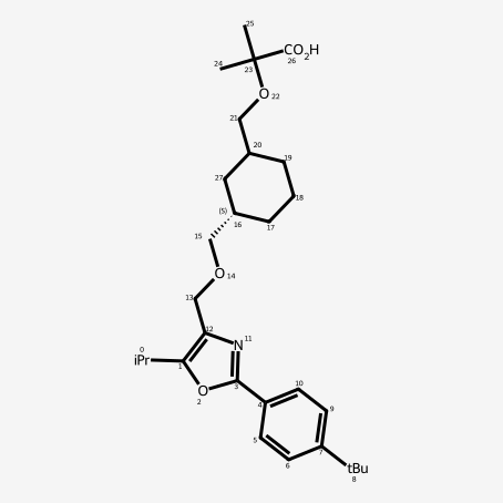 CC(C)c1oc(-c2ccc(C(C)(C)C)cc2)nc1COC[C@H]1CCCC(COC(C)(C)C(=O)O)C1